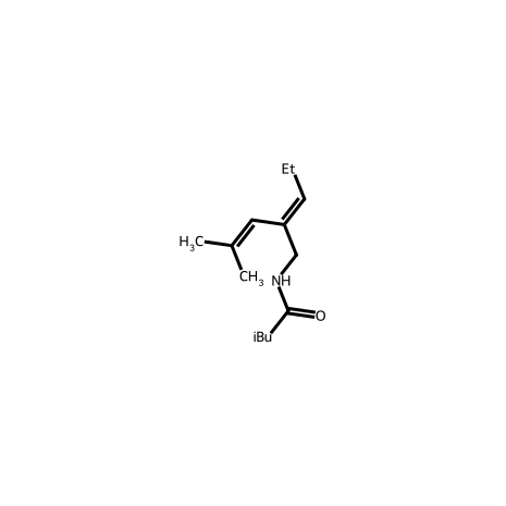 CC/C=C(\C=C(C)C)CNC(=O)C(C)CC